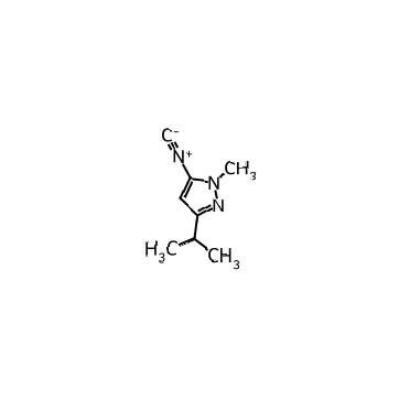 [C-]#[N+]c1cc(C(C)C)nn1C